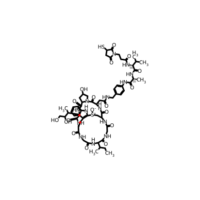 CCC(C)C1NC(=O)CNC(=O)C2Cc3c([nH]c4ccccc34)[S+]([O-])CC(NC(=O)CNC1=O)C(=O)NC(CC(=O)NCc1ccc(NC(=O)[C@H](C)NC(=O)[C@@H](NC(=O)CCN3C(=O)CC(S)C3=O)C(C)C)cc1)C(=O)N1CC(O)CC1C(=O)NC(C(C)C(O)CO)C(=O)N2